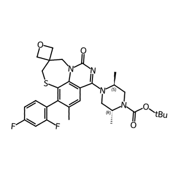 Cc1cc2c(N3C[C@@H](C)N(C(=O)OC(C)(C)C)C[C@@H]3C)nc(=O)n3c2c(c1-c1ccc(F)cc1F)SCC1(COC1)C3